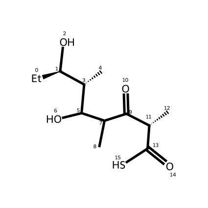 CC[C@@H](O)[C@H](C)C(O)C(C)C(=O)[C@H](C)C(=O)S